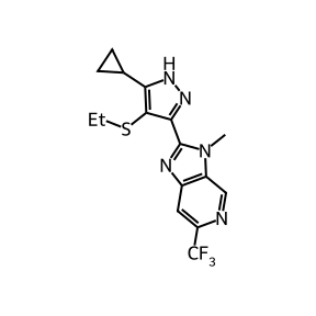 CCSc1c(-c2nc3cc(C(F)(F)F)ncc3n2C)n[nH]c1C1CC1